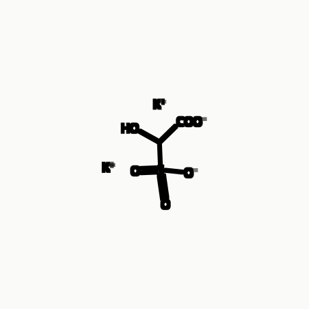 O=C([O-])C(O)S(=O)(=O)[O-].[K+].[K+]